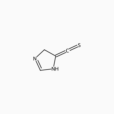 S=C=C1CN=CN1